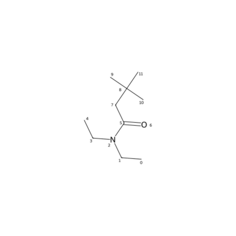 CCN(CC)C(=O)CC(C)(C)C